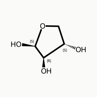 O[C@@H]1[C@@H](O)CO[C@@H]1O